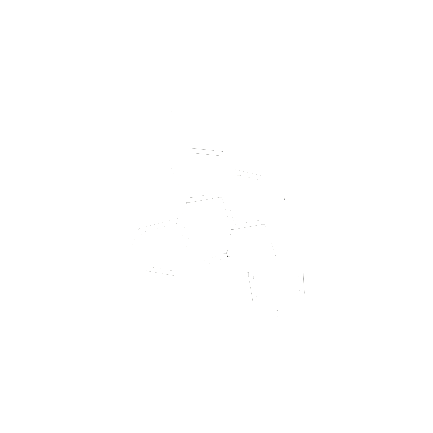 O=C1c2ccccc2-c2ccc3cc(Cl)cc(-c4ccccc4)c3c21